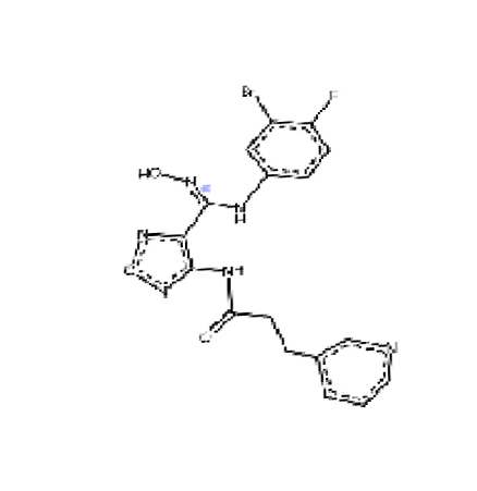 O=C(CCc1cccnc1)Nc1nonc1/C(=N\O)Nc1ccc(F)c(Br)c1